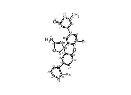 Cc1cc(-c2cc(F)c3c(c2)[C@]2(COC(N)=N2)c2cc(-c4cccnc4F)ccc2O3)cc(=O)o1